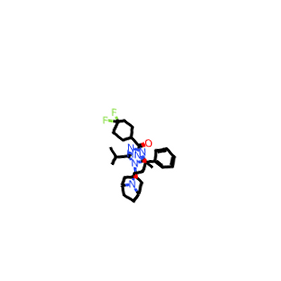 Cc1nnc(C(C)C)n1C1CC2CCC(C1)N2CCC(NC(=O)C1CCC(F)(F)CC1)c1ccccc1